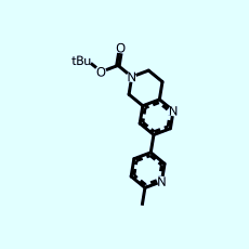 Cc1ccc(-c2cnc3c(c2)CN(C(=O)OC(C)(C)C)CC3)cn1